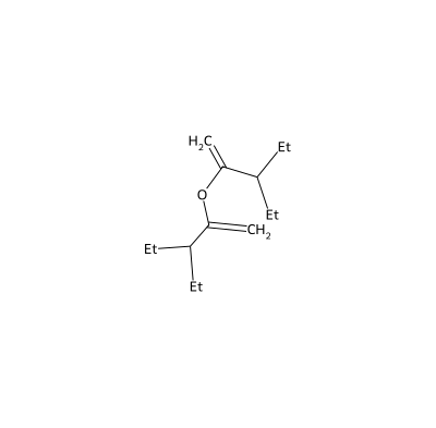 C=C(OC(=C)C(CC)CC)C(CC)CC